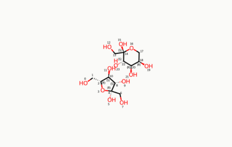 OC[C@H]1O[C@](O)(CO)[C@@H](O)[C@@H]1O.OC[C@]1(O)OC[C@@H](O)[C@@H](O)[C@@H]1O